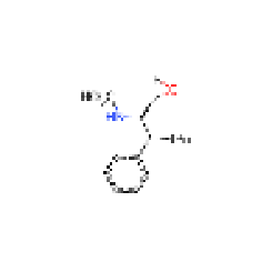 CC(C)(C)[C@@H](c1ccccc1)C(NC(=O)O)[C@H]1CO1